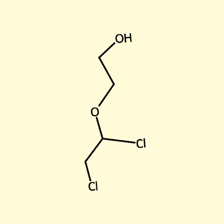 OCCOC(Cl)CCl